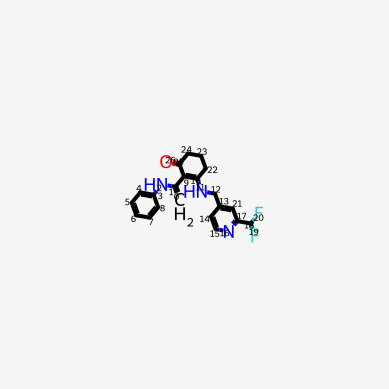 C=C(Nc1ccccc1)C1=C(NCc2ccnc(C(F)F)c2)CCCC1=O